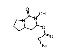 CC(C)(C)OC(=O)OC1CC2CCCN2C(=O)N1O